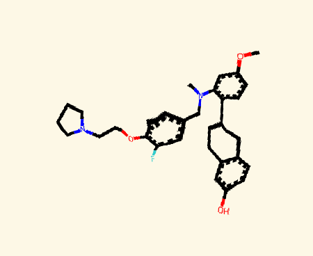 COc1ccc(C2CCc3cc(O)ccc3C2)c(N(C)Cc2ccc(OCCN3CCCC3)c(F)c2)c1